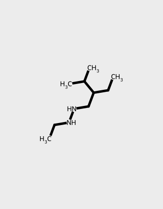 CCNNCC(CC)C(C)C